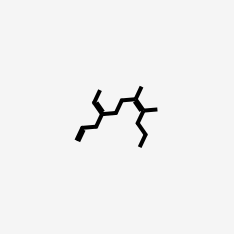 C=CCC(=CC)CCC(C)=C(C)CCC